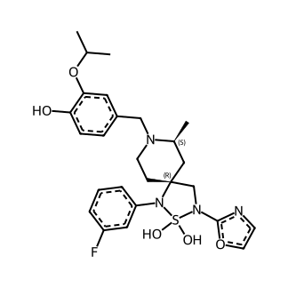 CC(C)Oc1cc(CN2CC[C@@]3(C[C@@H]2C)CN(c2ncco2)S(O)(O)N3c2cccc(F)c2)ccc1O